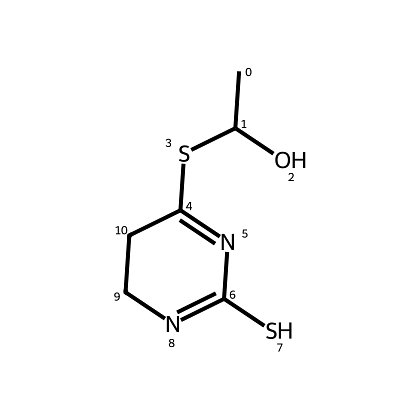 CC(O)SC1=NC(S)=NCC1